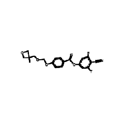 CC1(COCOc2ccc(C(=O)Oc3cc(F)c(C#N)c(F)c3)cc2)COC1